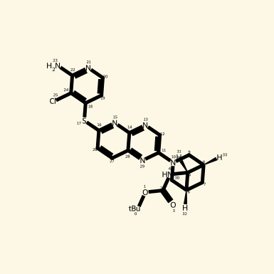 CC(C)(C)OC(=O)N[C@H]1[C@@H]2C[C@H]1CN(c1cnc3nc(Sc4ccnc(N)c4Cl)ccc3n1)C2